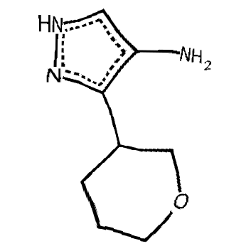 Nc1c[nH]nc1C1CCCOC1